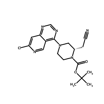 CC(C)(C)OC(=O)N1CCN(c2ncnc3cc(Cl)ncc23)C[C@@H]1CC#N